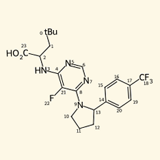 CC(C)(C)CC(Nc1ncnc(N2CCCC2c2ccc(C(F)(F)F)cc2)c1F)C(=O)O